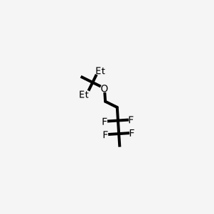 CCC(C)(CC)OCCC(F)(F)C(C)(F)F